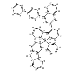 c1ccc(-c2ccc(-c3nc(-c4cccc5c4-c4ccccc4C54c5ccccc5-c5c4ccc4oc6ccccc6c54)nc4ccccc34)cc2)cc1